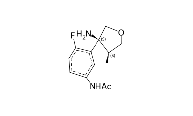 CC(=O)Nc1ccc(F)c([C@]2(N)COC[C@H]2C)c1